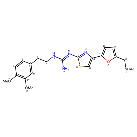 COc1ccc(CCN/C(N)=N/c2nc(-c3ccc(CNC(C)=O)o3)cs2)cc1OC